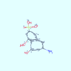 Nc1cc(O)c2c(O)cc(S(=O)(=O)O)cc2c1